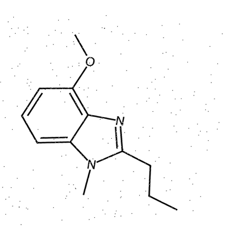 CCCc1nc2c(OC)cccc2n1C